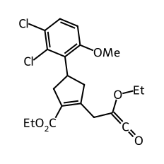 CCOC(=O)C1=C(CC(=C=O)OCC)CC(c2c(OC)ccc(Cl)c2Cl)C1